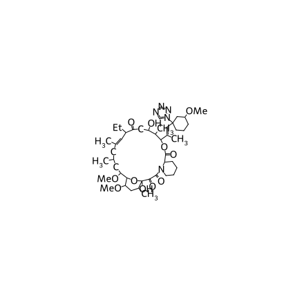 CCC1/C=C(\C)CC(C)CC(OC)C2OC(O)(C(=O)C(=O)N3CCCCC3C(=O)OC(C(C)=CC3(n4cnnn4)CCCC(OC)C3)C(C)C(O)CC1=O)C(C)CC2OC